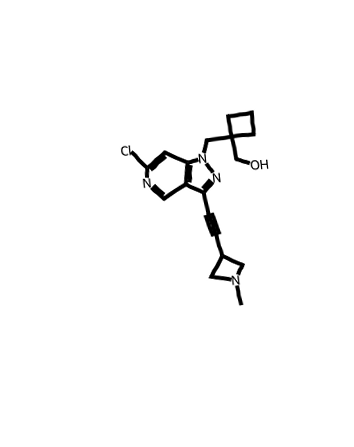 CN1CC(C#Cc2nn(CC3(CO)CCC3)c3cc(Cl)ncc23)C1